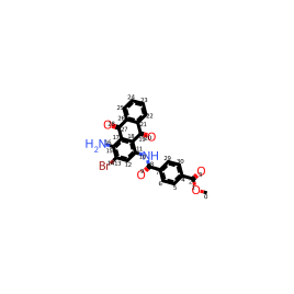 COC(=O)c1ccc(C(=O)Nc2cc(Br)c(N)c3c2C(=O)c2ccccc2C3=O)cc1